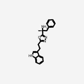 C[C@@](N)(Cc1ccccc1)c1nnc(CCc2c[nH]c3ccccc23)o1